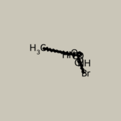 CCCCCCCCCCCCCCCCCNC(=O)O[C@@H]1CCCO[C@H]1COC(=O)NCCCCCBr